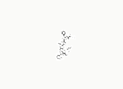 CCCC(=O)OCN(C(=O)[C@@H](NC(=O)[C@H]1CCCCN1C)[C@@H](C)CC)[C@H](C[C@@H](OC(C)=O)c1nc(C(=O)N[C@@H](Cc2ccccc2)C[C@H](C)C(=O)O)cs1)C(C)C